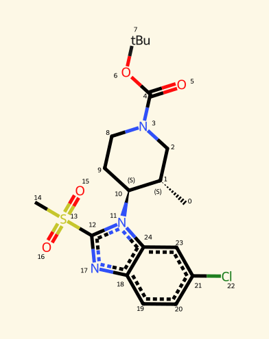 C[C@H]1CN(C(=O)OC(C)(C)C)CC[C@@H]1n1c(S(C)(=O)=O)nc2ccc(Cl)cc21